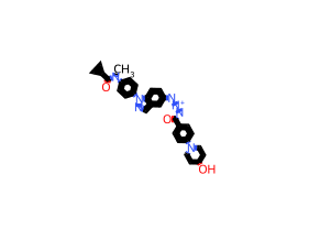 CN(C(=O)C1CC1)c1ccc(-n2ncc3cc(N=[N+]=NC(=O)c4ccc(N5CCC(O)CC5)cc4)ccc32)cc1